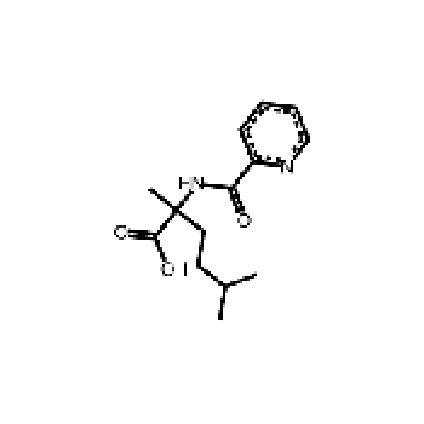 CC(C)CCC(C)(NC(=O)c1ccccn1)C(=O)O